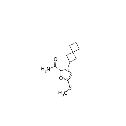 CSc1cc(C2CC3(CCC3)C2)c(C(N)=O)o1